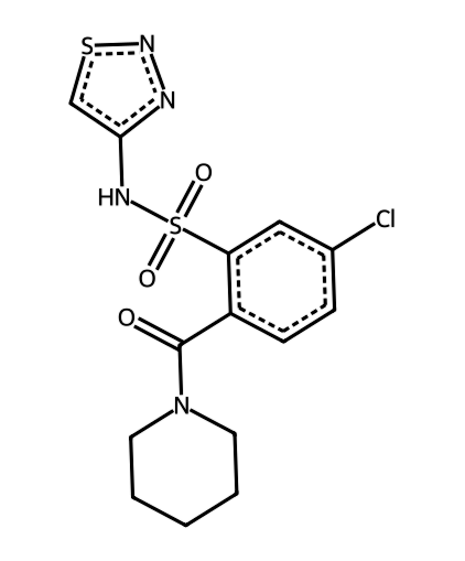 O=C(c1ccc(Cl)cc1S(=O)(=O)Nc1csnn1)N1CCCCC1